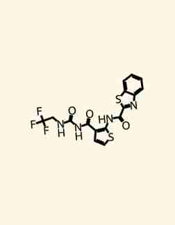 O=C(NCC(F)(F)F)NC(=O)c1ccsc1NC(=O)c1nc2ccccc2s1